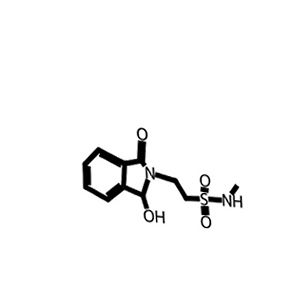 CNS(=O)(=O)CCN1C(=O)c2ccccc2C1O